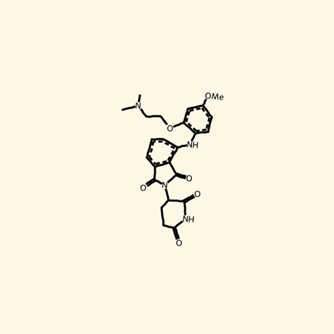 COc1ccc(Nc2cccc3c2C(=O)N(C2CCC(=O)NC2=O)C3=O)c(OCCN(C)C)c1